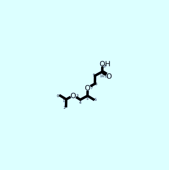 CC(C)OCC(C)OCCC(=O)O